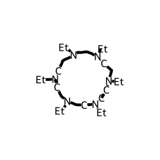 CCN1CCN(CC)CCN(CC)CCN(CC)CCN(CC)CCN(CC)CC1